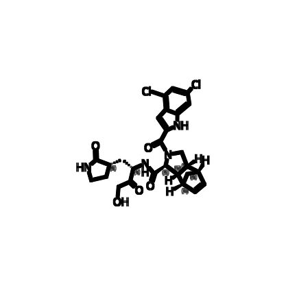 O=C1NCC[C@H]1C[C@H](NC(=O)[C@@H]1[C@@H]2[C@H](CN1C(=O)c1cc3c(Cl)cc(Cl)cc3[nH]1)[C@@H]1C=C[C@H]2C1)C(=O)CO